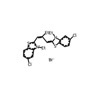 CCC(=Cc1sc2ccc(Cl)cc2[n+]1CC)C=C1Sc2ccc(Cl)cc2N1CC.[Br-]